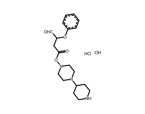 Cl.Cl.O=CC(CC(=O)ON1CCN(C2CCNCC2)CC1)Oc1ccccc1